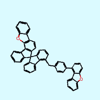 c1ccc2c(c1)-c1c(Cc3ccc(-c4cccc5oc6ccccc6c45)cc3)cccc1C21c2ccccc2-c2c1ccc1c2oc2ccccc21